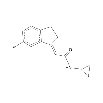 O=C(C=C1CCc2ccc(F)cc21)NC1CC1